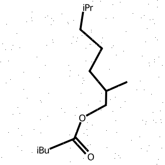 CCC(C)C(=O)OCC(C)CCCC(C)C